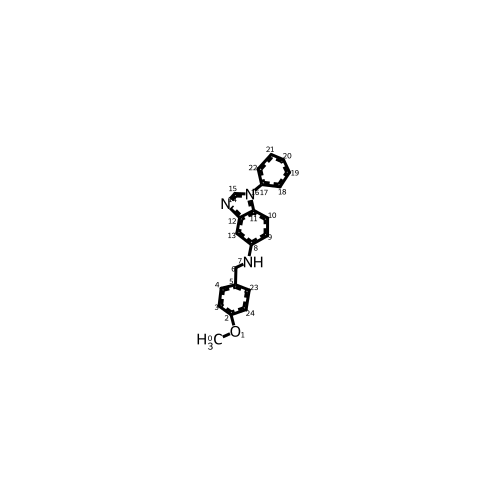 COc1ccc(CNc2ccc3c(c2)ncn3-c2ccccc2)cc1